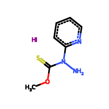 COC(=S)N(N)c1ccccn1.I